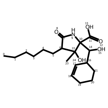 CCCCCCC1C(=O)NC(C(=O)O)(C(O)C2C=CCCC2)C1(C)O